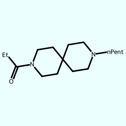 CCCCCN1CCC2(CC1)CCN(C(=O)CC)CC2